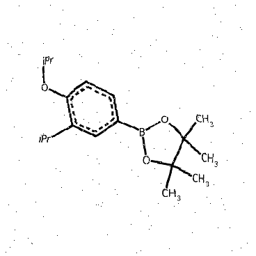 CC(C)Oc1ccc(B2OC(C)(C)C(C)(C)O2)cc1C(C)C